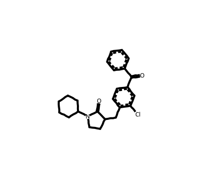 O=C(c1ccccc1)c1ccc(CC2CCN(C3CCCCC3)C2=O)c(Cl)c1